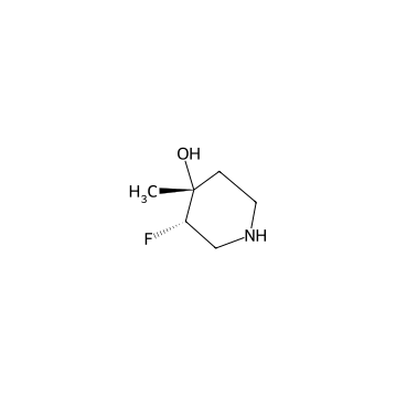 C[C@@]1(O)CCNC[C@@H]1F